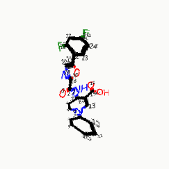 O=C(NC1CCN(C2CCCCC2)CC1C(=O)O)c1ncc(-c2ccc(F)cc2F)o1